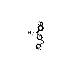 CC(c1ccc2c(c1)OCC2)N1CCC(Oc2cccnc2)CC1